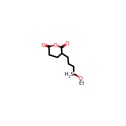 CCO[SiH2]CCCC1CCC(=O)OC1=O